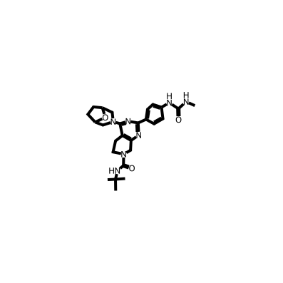 CNC(=O)Nc1ccc(-c2nc3c(c(N4CC5CCC(C4)O5)n2)CCN(C(=O)NC(C)(C)C)C3)cc1